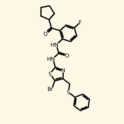 O=C(Nc1nc(CSc2ccccc2)c(Br)s1)Nc1ccc(F)cc1C(=O)C1CCCC1